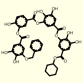 O=C(Oc1cc(C(=O)Oc2cc(C(=O)Oc3cc(C(=O)OC4CCCCC4)cc(O)c3O)cc(O)c2O)ccc1O)c1cc(O)c(O)c(OCc2ccccc2)c1